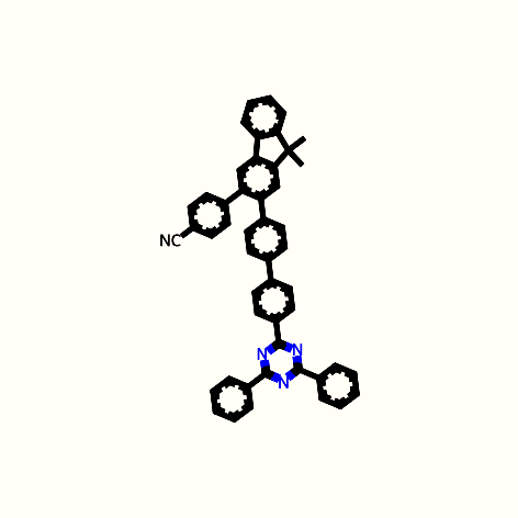 CC1(C)c2ccccc2-c2cc(-c3ccc(C#N)cc3)c(-c3ccc(-c4ccc(-c5nc(-c6ccccc6)nc(-c6ccccc6)n5)cc4)cc3)cc21